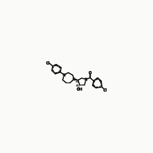 O=C(c1ccc(Cl)cc1)N1C[C@H](O)[C@@H](N2CCCN(c3ccc(Cl)cc3)CC2)C1